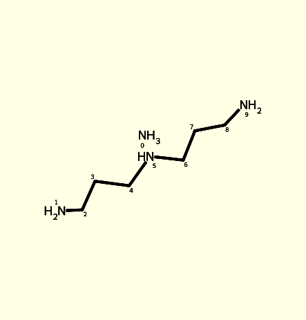 N.NCCCNCCCN